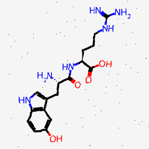 N=C(N)NCCC[C@H](NC(=O)[C@@H](N)Cc1c[nH]c2ccc(O)cc12)C(=O)O